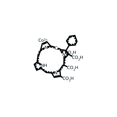 O=C(O)C1=Cc2cc3ccc(cc4nc(cc5c(-c6ccccc6)c(C(=O)O)c(c(C(=O)O)c1n2)n5C(=O)O)C=C4)[nH]3.[Co+2]